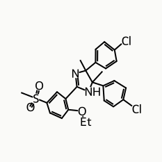 CCOc1ccc(S(C)(=O)=O)cc1C1=NC(C)(c2ccc(Cl)cc2)C(C)(c2ccc(Cl)cc2)N1